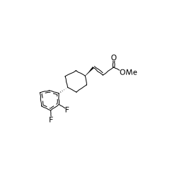 COC(=O)C=C[C@H]1CC[C@H](c2cccc(F)c2F)CC1